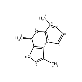 Cc1cc([C@@H](C)Oc2ncccc2N)on1